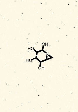 OC1C(O)C(O)N2CC2C1O